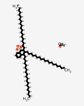 C=O.CCCCCCCCCCCCCCCCCCCCc1c(CCCCCCCCCCCCCCCCCCCC)c(S(=O)(=O)[O-])c2ccccc2c1CCCCCCCCCCCCCCCCCCCC.[Na+]